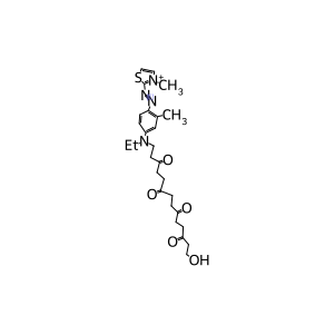 CCN(CCC(=O)CCC(=O)CCC(=O)CCC(=O)CCO)c1ccc(/N=N/c2scc[n+]2C)c(C)c1